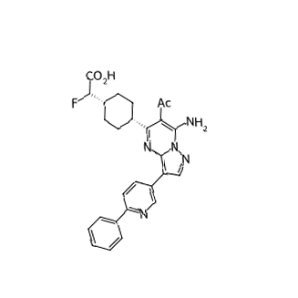 CC(=O)c1c(N)n2ncc(-c3ccc(-c4ccccc4)nc3)c2nc1[C@H]1CC[C@@H](C(F)C(=O)O)CC1